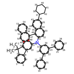 CC1(C)c2ccccc2-c2cc(N(c3cc(-c4ccccc4)cc(-c4ccccc4)c3)c3ccc4cc(C5CCCCC5)ccc4c3-c3cccc4ccccc34)ccc21